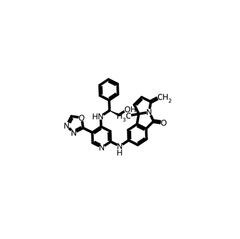 C=C1C=CC2(C)c3cc(Nc4cc(N[C@H](CO)c5ccccc5)c(-c5nnco5)cn4)ccc3C(=O)N12